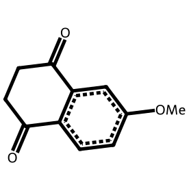 COc1ccc2c(c1)C(=O)CCC2=O